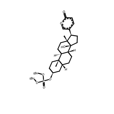 CC(C)(C)OP(=O)(O[C@H]1CC[C@@]2(C)[C@H](CC[C@@H]3[C@@H]2CC[C@]2(C)[C@@H](c4ccc(=O)oc4)CC[C@]32O)C1)OC(C)(C)C